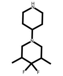 CC1CN(C2CCNCC2)CC(C)C1(F)F